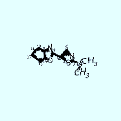 CN(C)c1ncc(-c2nc3ccccc3o2)s1